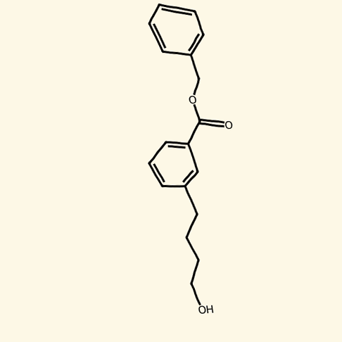 O=C(OCc1ccccc1)c1cccc(CCCCO)c1